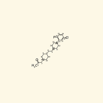 CC(=O)CN1CCC(CCN2CCN(c3cc(Cl)ccc3F)CC2)CC1